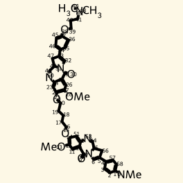 CNc1ccc(C2=CN3C(=O)c4cc(OC)c(OCCCCCOc5cc6c(cc5OC)C(=O)N5C=C(c7ccc(OCCCN(C)C)cc7)CC5C=N6)cc4N=CC3C2)cc1